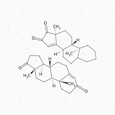 C[C@]12CCC(=O)C=C1CC[C@@H]1[C@@H]2CC[C@]2(C)C(=O)CC[C@@H]12.C[C@]12CC[C@H]3[C@@H](CCC4CCCC[C@@]43C)C1=CC(=O)C2=O